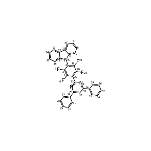 Fc1c(F)c(-n2c3ccccc3c3ccccc32)c(F)c(F)c1-c1nc(-c2ccccc2)cc(-c2ccccc2)n1